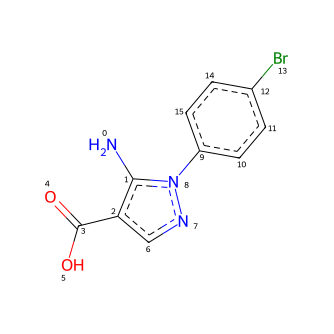 Nc1c(C(=O)O)cnn1-c1ccc(Br)cc1